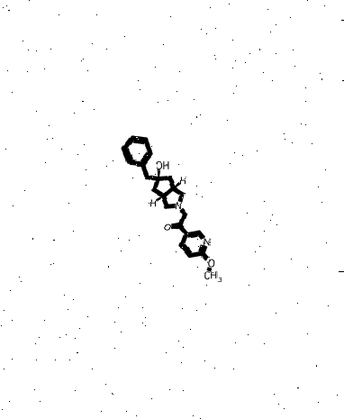 COc1ccc(C(=O)CN2C[C@@H]3C[C@](O)(Cc4ccccc4)C[C@@H]3C2)cn1